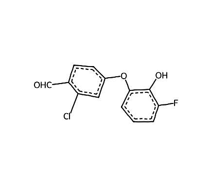 O=Cc1ccc(Oc2cccc(F)c2O)cc1Cl